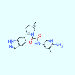 Cc1cc(NC(=O)C(=O)N2C[C@H](C)CC[C@H]2c2ccc3cn[nH]c3c2)cnc1N